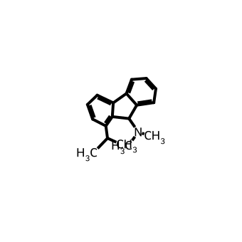 CC(C)c1cccc2c1C(N(C)C)c1ccccc1-2